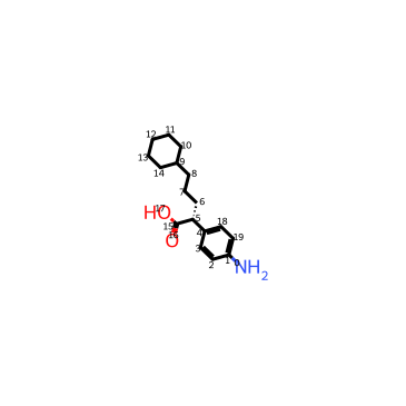 Nc1ccc([C@@H](CCCC2CCCCC2)C(=O)O)cc1